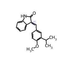 COc1ccc(/C=C2/C(=O)Nc3ccccc32)cc1C(C)C